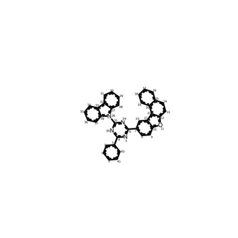 c1ccc(-c2nc(-c3ccc4oc5ccc6ccccc6c5c4c3)nc(-n3c4ccccc4c4ccccc43)n2)cc1